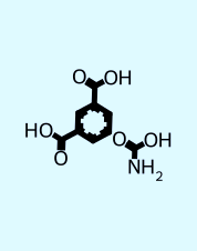 NC(=O)O.O=C(O)c1cccc(C(=O)O)c1